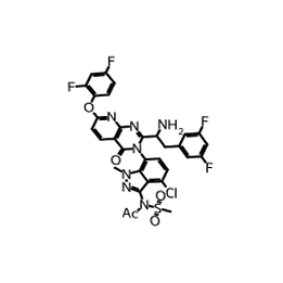 CC(=O)N(c1nn(C)c2c(-n3c(C(N)Cc4cc(F)cc(F)c4)nc4nc(Oc5ccc(F)cc5F)ccc4c3=O)ccc(Cl)c12)S(C)(=O)=O